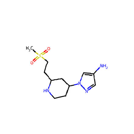 CS(=O)(=O)CCC1CC(n2cc(N)cn2)CCN1